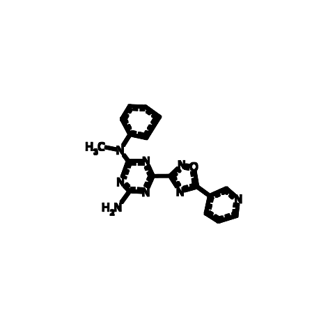 CN(c1ccccc1)c1nc(N)nc(-c2noc(-c3cccnc3)n2)n1